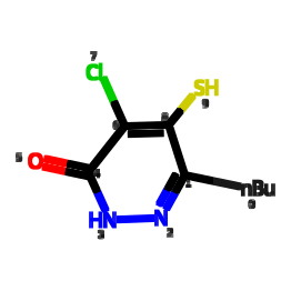 CCCCc1n[nH]c(=O)c(Cl)c1S